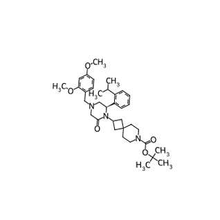 COc1ccc(CN2CC(=O)N(C3CC4(CCN(C(=O)OC(C)(C)C)CC4)C3)[C@H](c3ccccc3C(C)C)C2)c(OC)c1